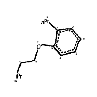 CCCc1ccccc1OCCC(C)C